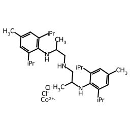 Cc1cc(C(C)C)c(NC(C)CNCC(C)Nc2c(C(C)C)cc(C)cc2C(C)C)c(C(C)C)c1.[Cl-].[Cl-].[Co+2]